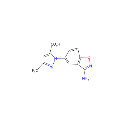 Nc1noc2ccc(-n3nc(C(F)(F)F)cc3C(=O)O)cc12